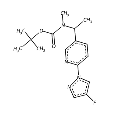 CC(c1ccc(-n2cc(F)cn2)nc1)N(C)C(=O)OC(C)(C)C